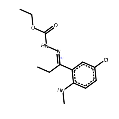 CCOC(=O)N/N=C(\CC)c1cc(Cl)ccc1NC